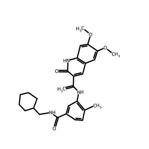 C=C(Nc1cc(C(=O)NCC2CCCCC2)ccc1C)c1cc2cc(OC)c(OC)cc2[nH]c1=O